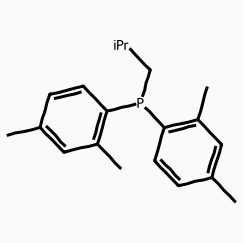 Cc1ccc(P(CC(C)C)c2ccc(C)cc2C)c(C)c1